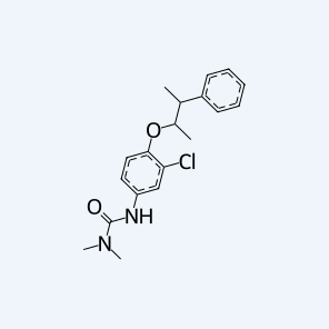 CC(Oc1ccc(NC(=O)N(C)C)cc1Cl)C(C)c1ccccc1